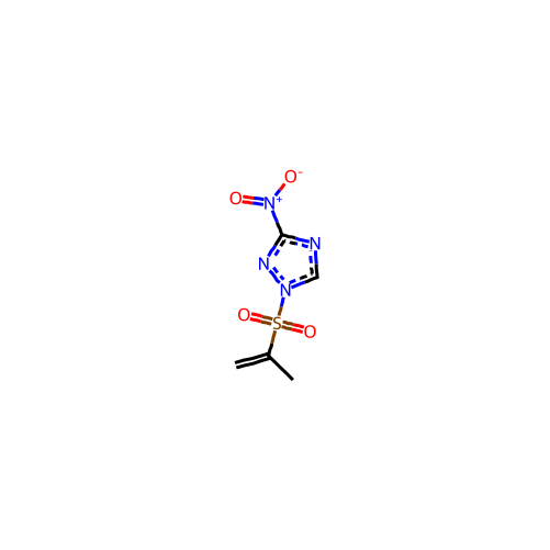 C=C(C)S(=O)(=O)n1cnc([N+](=O)[O-])n1